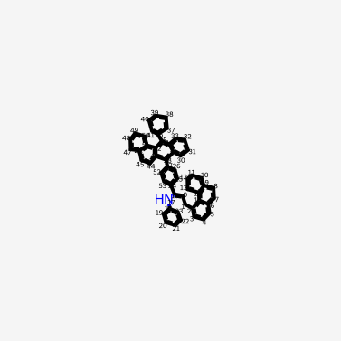 C(/Cc1cccc2ccc3ccccc3c12)=C(/Nc1ccccc1)c1ccc(-c2c3ccccc3c(-c3ccccc3)c3c2ccc2ccccc23)cc1